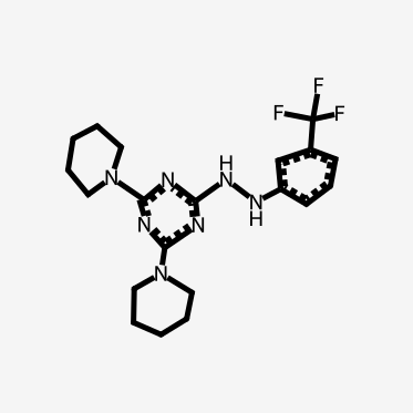 FC(F)(F)c1cccc(NNc2nc(N3CCCCC3)nc(N3CCCCC3)n2)c1